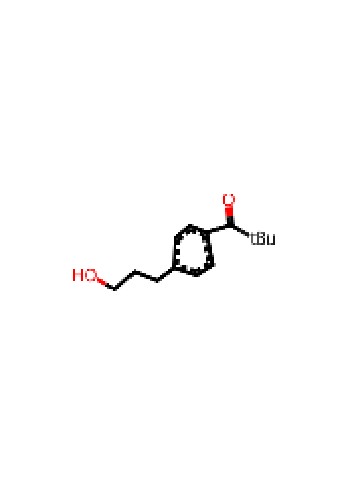 CC(C)(C)C(=O)c1ccc(CCCO)cc1